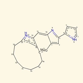 COC1=CC(c2ccc[nH]2)=NC1=Cc1[nH]c2cc1CCCCCCCC2